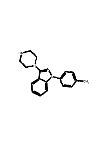 Cc1ccc(-n2nc(N3CCNCC3)c3ccccc32)cc1